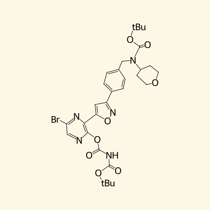 CC(C)(C)OC(=O)NC(=O)Oc1ncc(Br)nc1-c1cc(-c2ccc(CN(C(=O)OC(C)(C)C)C3CCOCC3)cc2)no1